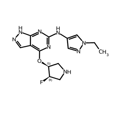 CCn1cc(Nc2nc(O[C@H]3CNC[C@H]3F)c3cn[nH]c3n2)cn1